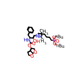 CCCCOP(=O)(CCCCC(C)(C)CNCC(O)C(Cc1ccccc1)NC(=O)OC1COC2OCCC12)OCCCC